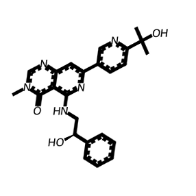 Cn1cnc2cc(-c3ccc(C(C)(C)O)nc3)nc(NC[C@H](O)c3ccccc3)c2c1=O